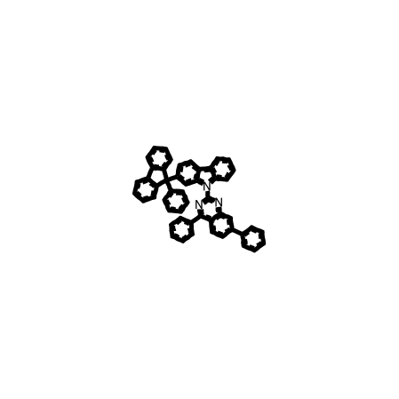 c1ccc(-c2ccc3c(-c4ccccc4)nc(-n4c5ccccc5c5ccc(C6(c7ccccc7)c7ccccc7-c7ccccc76)cc54)nc3c2)cc1